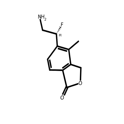 Cc1c([C@@H](F)CN)ccc2c1COC2=O